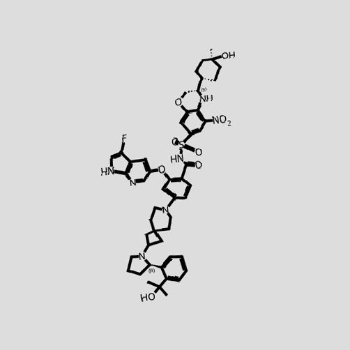 CC(C)(O)c1ccccc1[C@H]1CCCN1C1CC2(CCN(c3ccc(C(=O)NS(=O)(=O)c4cc5c(c([N+](=O)[O-])c4)N[C@@H]([C@H]4CC[C@](C)(O)CC4)CO5)c(Oc4cnc5[nH]cc(F)c5c4)c3)CC2)C1